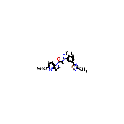 COc1ccc2c(n1)CCN2C(=O)CNc1cc(-c2nc(C)ns2)ccc1C